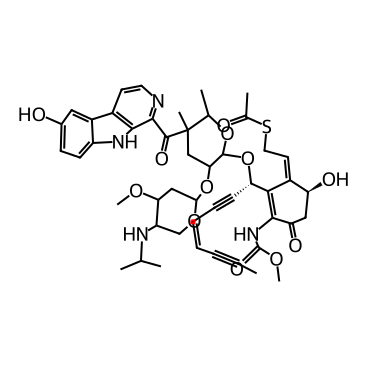 CC#C/C=C\C#C[C@H](OC1OC(C)C(C)(C(=O)c2nccc3c2[nH]c2ccc(O)cc23)CC1OC1CC(OC)C(NC(C)C)CO1)C1=C(NC(=O)OC)C(=O)C[C@H](O)/C1=C/CSC(C)=O